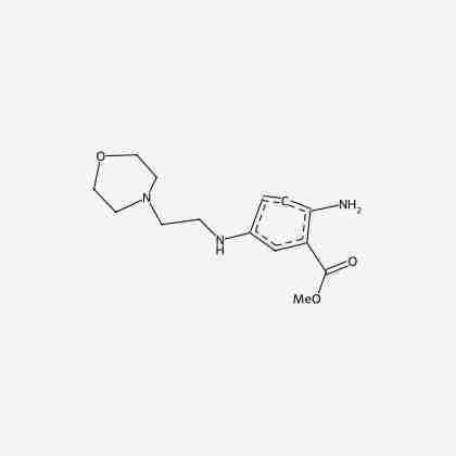 COC(=O)c1cc(NCCN2CCOCC2)ccc1N